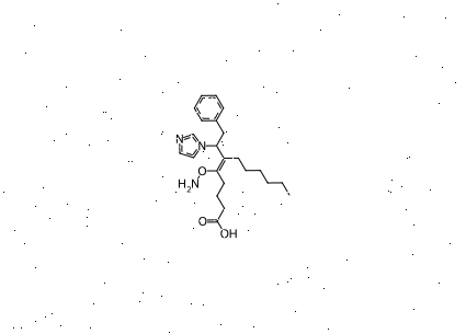 CCCCCC/C(=C(\CCCC(=O)O)ON)C(Cc1ccccc1)n1ccnc1